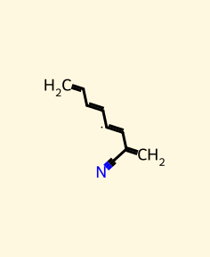 C=CC=C[C]=CC(=C)C#N